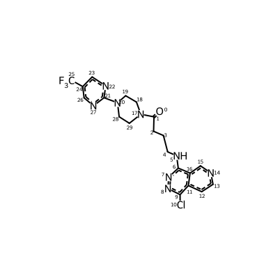 O=C(CCCNc1nnc(Cl)c2ccncc12)N1CCN(c2ncc(C(F)(F)F)cn2)CC1